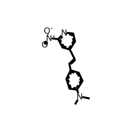 CN(C)c1ccc(/C=C/c2ccnc([N+](=O)[O-])c2)cc1